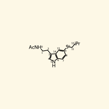 CC(=O)NCCc1c[nH]c2ccc(SCC(C)C)cc12